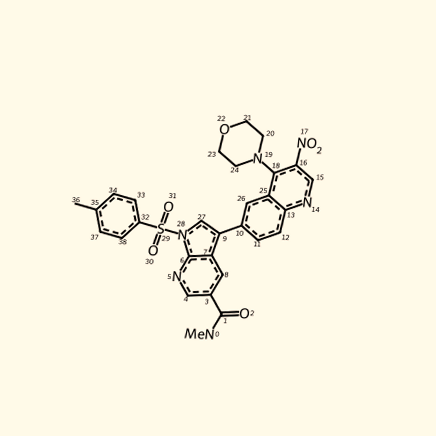 CNC(=O)c1cnc2c(c1)c(-c1ccc3ncc([N+](=O)[O-])c(N4CCOCC4)c3c1)cn2S(=O)(=O)c1ccc(C)cc1